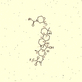 CC(C)C(=O)N1CCO[C@@H](O[C@H]2CC[C@@]3(C)[C@@H](CC[C@H]4[C@]5(C)[C@@H](O)[C@H]6O[C@@H](CN(C)S(=O)(=O)C(F)(F)F)C[C@@H](C)C6[C@@]5(C)CC[C@]43C)C2(C)C)C1